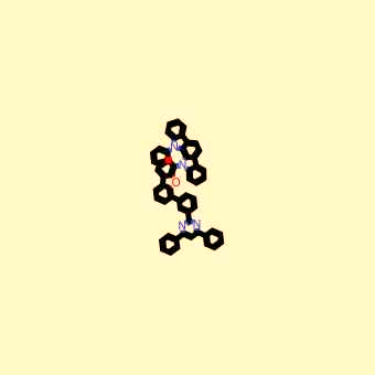 c1ccc(-c2cc(-c3ccccc3)nc(-c3cccc(-c4cccc5c4oc4c(-n6c7ccccc7c7ccc8c9ccccc9n(-c9ccccc9)c8c76)cccc45)c3)n2)cc1